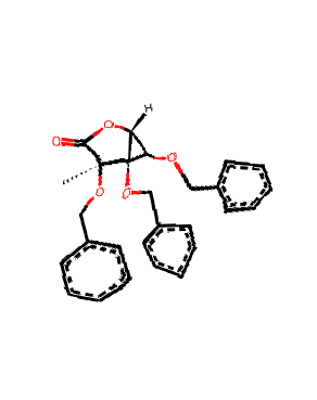 C[C@]1(OCc2ccccc2)C(=O)O[C@@H]2C(OCc3ccccc3)[C@@]21OCc1ccccc1